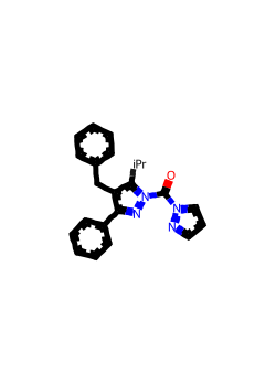 CC(C)c1c(Cc2ccccc2)c(-c2ccccc2)nn1C(=O)n1cccn1